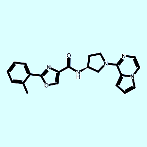 Cc1ccccc1-c1nc(C(=O)N[C@H]2CCN(c3nccn4cccc34)C2)co1